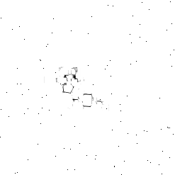 CCN1CCN(C(=O)[C@H]2CC[N+](C(=O)[O-])(C(C)(C)C)C2)CC1